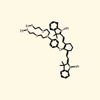 CCCN1/C(=C/C=C2\CCCC(/C=C/C3=[N+](CCC)c4ccccc4C3(C)C)=C2Oc2ccc(N(CCSCCSCC)CCSCCSCC)cc2)C(C)(C)c2ccccc21